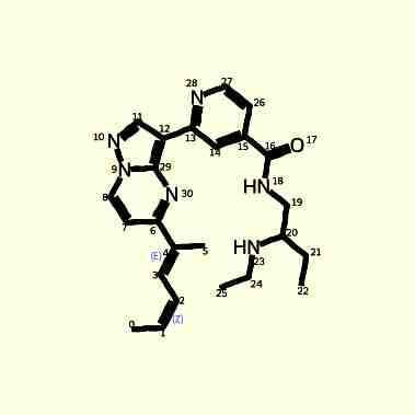 C/C=C\C=C(/C)c1ccn2ncc(-c3cc(C(=O)NCC(CC)NCC)ccn3)c2n1